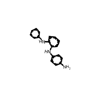 Nc1ccc(Nc2ccccc2Nc2ccccc2)cc1